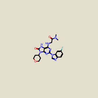 CN(C)C(=O)CNc1nc(-n2cnc3ccc(F)cc32)nc2c1[nH]c(=O)n2C1CCOCC1